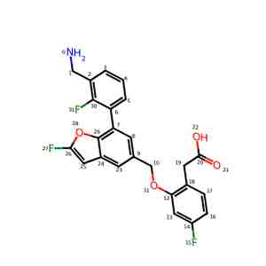 NCc1cccc(-c2cc(COc3cc(F)ccc3CC(=O)O)cc3cc(F)oc23)c1F